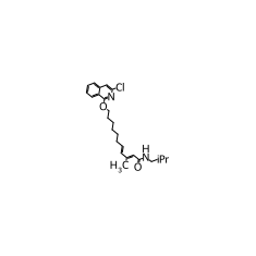 CC(C=CCCCCCCOc1nc(Cl)cc2ccccc12)=CC(=O)NCC(C)C